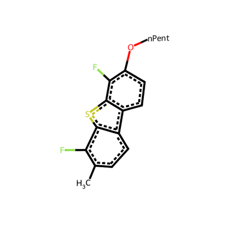 CCCCCOc1ccc2c(sc3c(F)c(C)ccc32)c1F